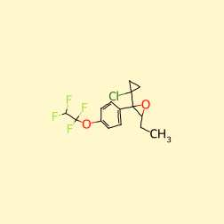 CCC1OC1(c1ccc(OC(F)(F)C(F)F)cc1)C1(Cl)CC1